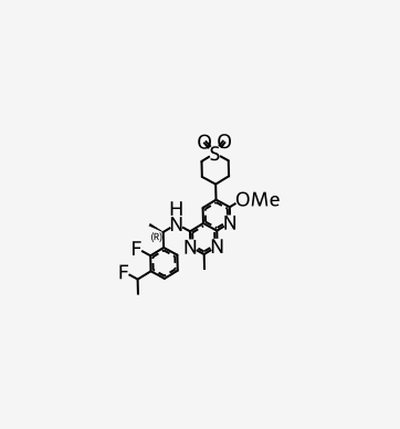 COc1nc2nc(C)nc(N[C@H](C)c3cccc(C(C)F)c3F)c2cc1C1CCS(=O)(=O)CC1